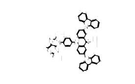 Cc1nc(C)c2nc(C)n(-c3ccc(N4c5ccc(-n6c7ccccc7c7ccccc76)cc5C(C)(C)c5cc(-n6c7ccccc7c7ccccc76)ccc54)cc3)c2n1